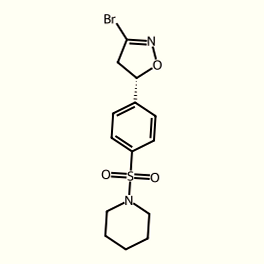 O=S(=O)(c1ccc([C@@H]2CC(Br)=NO2)cc1)N1CCCCC1